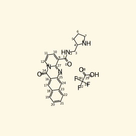 O=C(NCC1CCCN1)c1cccn2c(=O)c3cc4ccccc4cc3nc12.O=C(O)C(F)(F)F